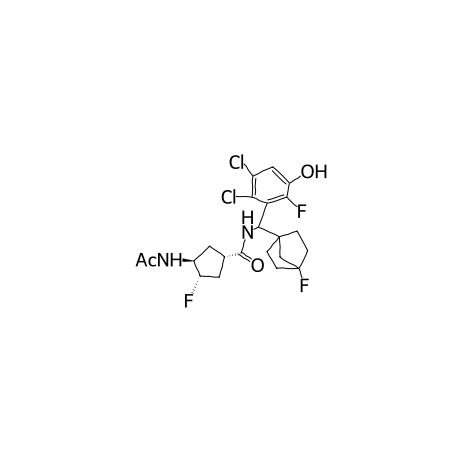 CC(=O)N[C@H]1C[C@H](C(=O)NC(c2c(F)c(O)cc(Cl)c2Cl)C23CCC(F)(CC2)C3)C[C@@H]1F